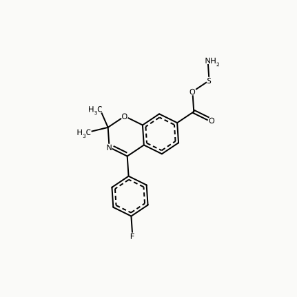 CC1(C)N=C(c2ccc(F)cc2)c2ccc(C(=O)OSN)cc2O1